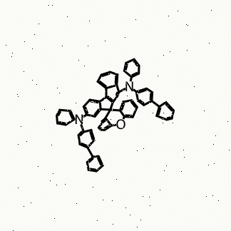 c1ccc(-c2ccc(N(c3ccccc3)c3ccc4c(c3)C3(c5ccccc5Oc5ccccc53)c3cc(N(c5ccccc5)c5ccc(-c6ccccc6)cc5)c5ccccc5c3-4)cc2)cc1